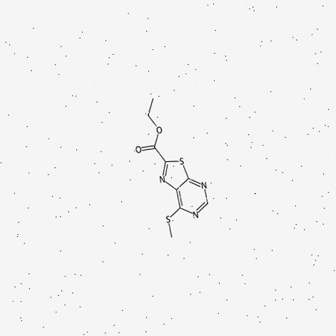 CCOC(=O)c1nc2c(SC)ncnc2s1